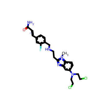 Cn1c(CCNCc2ccc(/C=C/C(N)=O)cc2F)nc2cc(N(CCCl)CCCl)ccc21